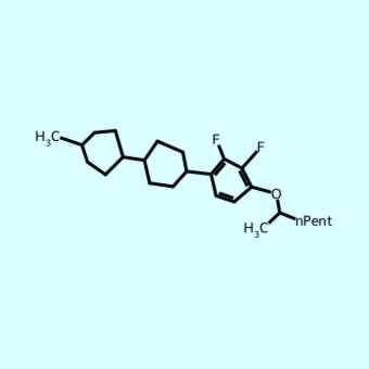 CCCCCC(C)Oc1ccc(C2CCC(C3CCC(C)CC3)CC2)c(F)c1F